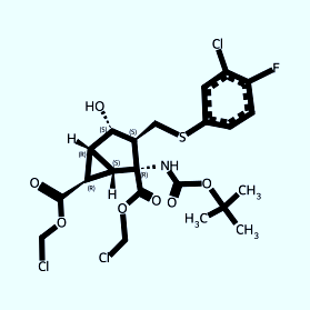 CC(C)(C)OC(=O)N[C@]1(C(=O)OCCl)[C@@H]2[C@@H](C(=O)OCCl)[C@@H]2[C@H](O)[C@H]1CSc1ccc(F)c(Cl)c1